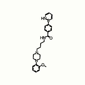 COc1ccccc1N1CCN(CCCCNC(=O)c2ccc(B3C=CC=CN3)cc2)CC1